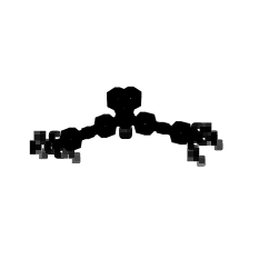 CC(C)(C)c1ccc(C#Cc2ccc(C3=C4C(=C(c5ccc(C#Cc6ccc(C(C)(C)C)cc6)cc5)C3=O)c3cccc5cccc4c35)cc2)cc1